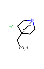 Cl.O=C(O)CC12CCN(CC1)CC2